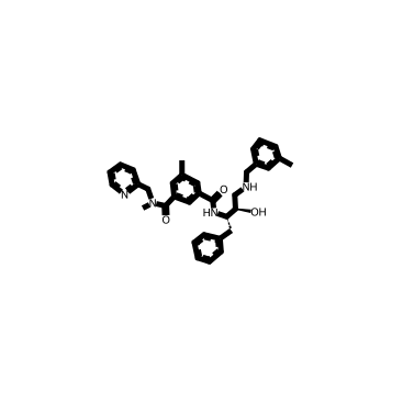 Cc1cccc(CNC[C@@H](O)[C@H](Cc2ccccc2)NC(=O)c2cc(C)cc(C(=O)N(C)Cc3ccccn3)c2)c1